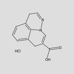 Cl.O=C(O)C1=CN2N=CCc3cccc(c32)C1